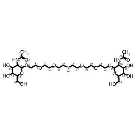 CC(=O)NC1C(OCCOCCOCCNCCOCCOCCOC2OC(CO)C(O)C(O)C2NC(C)=O)OC(CO)C(O)C1O